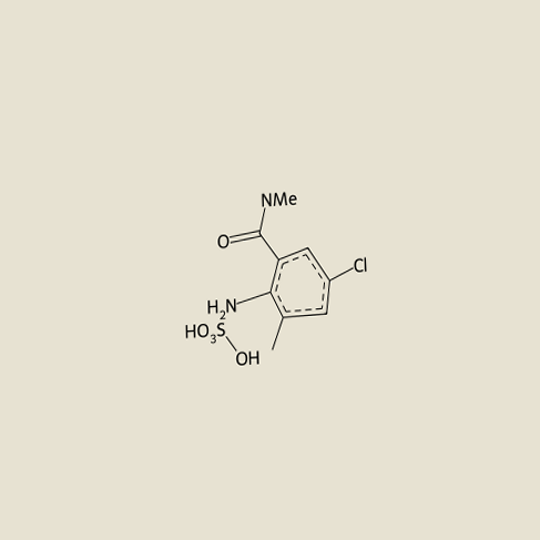 CNC(=O)c1cc(Cl)cc(C)c1N.O=S(=O)(O)O